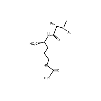 CC(=O)N(C)[C@H](C(=O)N[C@@H](CCCNC(N)=O)C(=O)O)C(C)C